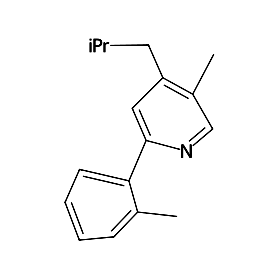 Cc1cnc(-c2ccccc2C)cc1CC(C)C